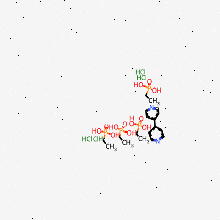 CCP(=O)(O)O.CCP(=O)(O)O.CCP(=O)(O)O.CCP(=O)(O)O.Cl.Cl.Cl.Cl.c1cc(-c2ccncc2)ccn1